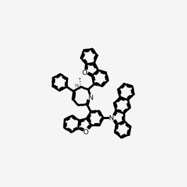 C[C@H]1C(c2ccccc2)=CCC(c2cc(-n3c4ccccc4c4cc5ccccc5cc43)cc3oc4ccccc4c23)=NC1c1cccc2c1oc1ccccc12